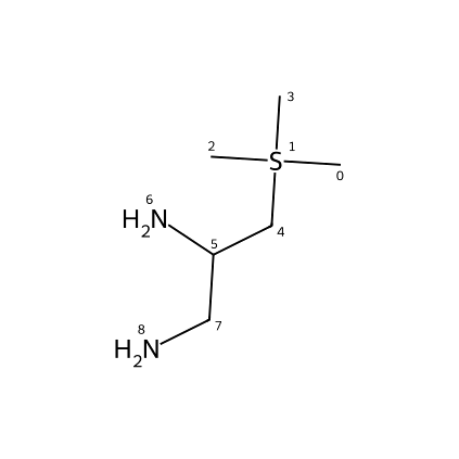 CS(C)(C)CC(N)CN